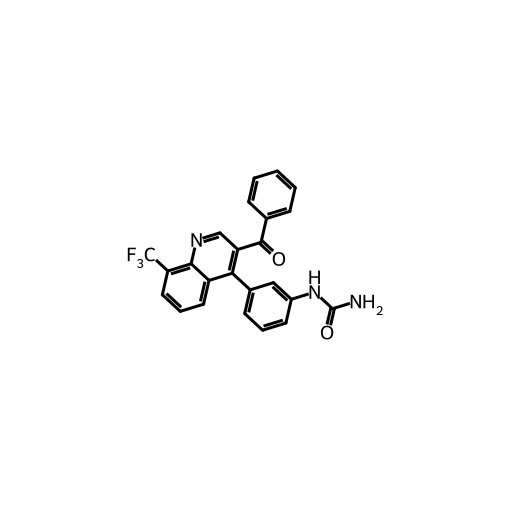 NC(=O)Nc1cccc(-c2c(C(=O)c3ccccc3)cnc3c(C(F)(F)F)cccc23)c1